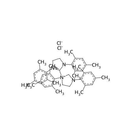 Cc1cc(C)c(N2CC[N+](C3=[N+](c4c(C)cc(C)cc4C)CCN3c3c(C)cc(C)cc3C)(c3c(C)cc(C)cc3C)C2)c(C)c1.[Cl-].[Cl-]